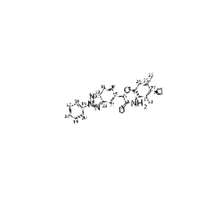 Cc1cc(OC(C(N)=O)c2ccc3nn(-c4ccccc4)nc3c2)cc(C)c1Cl